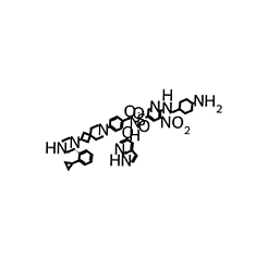 NC1CCC(CNc2ncc(S(=O)(=O)NC(=O)c3ccc(N4CCC5(CC4)CC(N4CCNC[C@H]4c4ccccc4C4CC4)C5)cc3Oc3cnc4[nH]ccc4c3)cc2[N+](=O)[O-])CC1